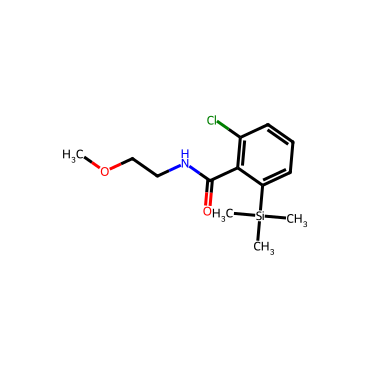 COCCNC(=O)c1c(Cl)cccc1[Si](C)(C)C